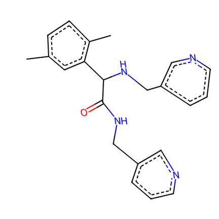 Cc1ccc(C)c(C(NCc2cccnc2)C(=O)NCc2cccnc2)c1